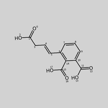 O=C(O)CC=Cc1cccc(C(=O)O)c1C(=O)O